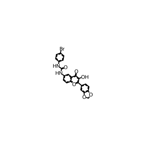 O=C(Nc1ccc(Br)cc1)Nc1ccc2oc(-c3ccc4c(c3)OCO4)c(O)c(=O)c2c1